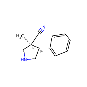 C[C@@]1(C#N)CNC[C@H]1c1ccccc1